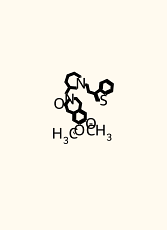 COc1cc2c(cc1OC)CC(=O)N(CC1CCCCN(CCc3csc4ccccc34)C1)CC2